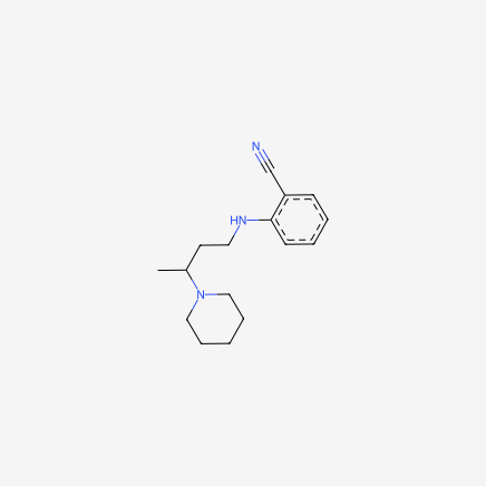 CC(CCNc1ccccc1C#N)N1CCCCC1